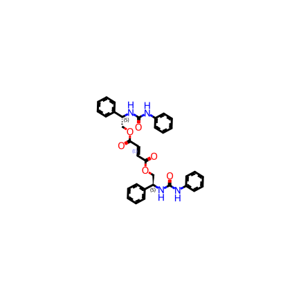 O=C(Nc1ccccc1)N[C@H](COC(=O)/C=C/C(=O)OC[C@@H](NC(=O)Nc1ccccc1)c1ccccc1)c1ccccc1